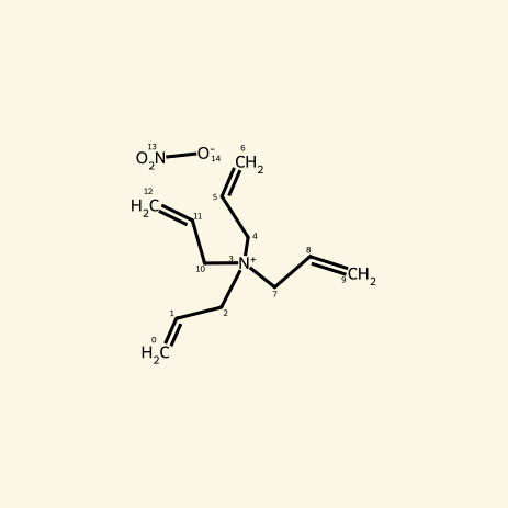 C=CC[N+](CC=C)(CC=C)CC=C.O=[N+]([O-])[O-]